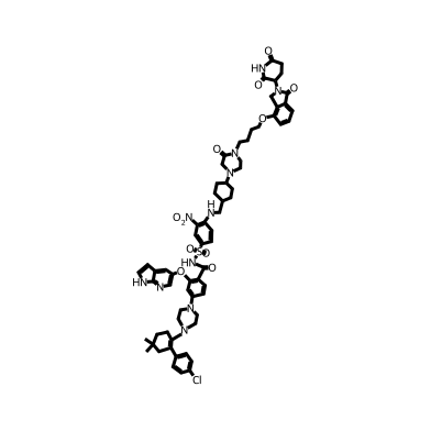 CC1(C)CCC(CN2CCN(c3ccc(C(=O)NS(=O)(=O)c4ccc(NCC5CCC(N6CCN(CCCCOc7cccc8c7CN(C7CCC(=O)NC7=O)C8=O)C(=O)C6)CC5)c([N+](=O)[O-])c4)c(Oc4cnc5[nH]ccc5c4)c3)CC2)=C(c2ccc(Cl)cc2)C1